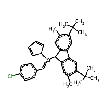 Cc1cc2c(cc1C(C)(C)C)-c1cc(C(C)(C)C)c(C)cc1[CH]2[Zr](=[CH]c1ccc(Cl)cc1)[CH]1C=CC=C1